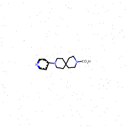 O=C(O)N1CCC2(CC1)CCN(c1ccncc1)CC2